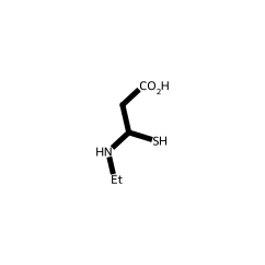 CCNC(S)CC(=O)O